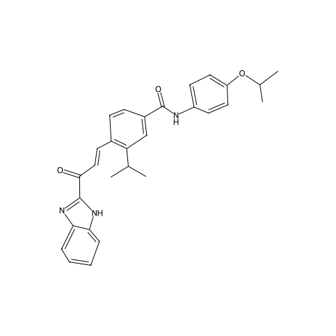 CC(C)Oc1ccc(NC(=O)c2ccc(C=CC(=O)c3nc4ccccc4[nH]3)c(C(C)C)c2)cc1